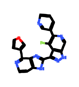 Fc1c(-c2cccnc2)ncc2[nH]nc(-c3nc4c(-c5ccoc5)nccc4[nH]3)c12